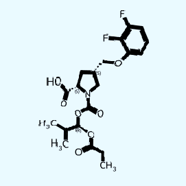 CCC(=O)O[C@H](OC(=O)N1C[C@@H](COc2cccc(F)c2F)C[C@H]1C(=O)O)C(C)C